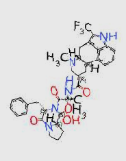 CN1C[C@H](C(=O)N[C@]2(C)O[C@@]3(O)[C@@H]4CCCN4C(=O)[C@H](Cc4ccccc4)N3C2=O)C[C@@H]2c3cccc4[nH]c(C(F)(F)F)c(c34)C[C@H]21